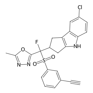 C#Cc1cccc(S(=O)(=O)C(F)(c2nnc(C)o2)C2Cc3[nH]c4ccc(Cl)cc4c3C2)c1